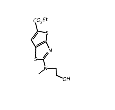 CCOC(=O)c1cc2sc(N(C)CCO)nc2s1